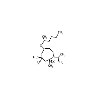 CCCCC(C)OC1CCN(C(C)C)C(C)(C)CC(C)(C)C1